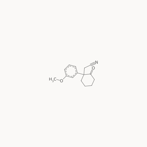 COc1cccc(C2(CC#N)CCCCC2=O)c1